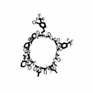 CC[C@H](C)[C@@H]1NC(=O)[C@H](CC(C)C)N(C)C(=O)C[C@@H](C(=O)N2CCCCC2)N(C)C(=O)[C@H](C(C)C)N(C)C(=O)C2(CCCC2)NC(=O)[C@@H]2CCCN2C(=O)[C@H](CCc2ccc(C(F)(F)F)c(Cl)c2)NC(=O)CN(C)C(=O)[C@H](Cc2cccc(C(F)(F)F)c2)N(C)C(=O)CN(C)C(=O)CN(C)C1=O